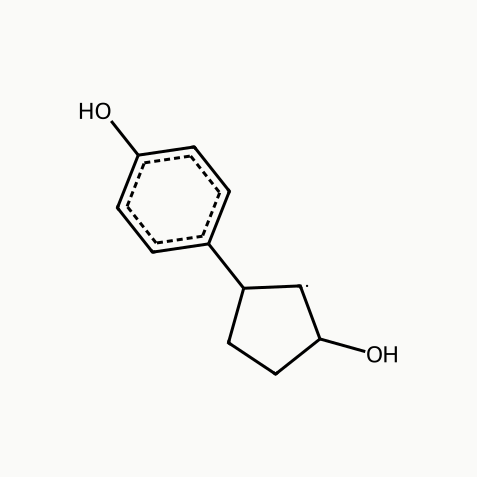 Oc1ccc(C2[CH]C(O)CC2)cc1